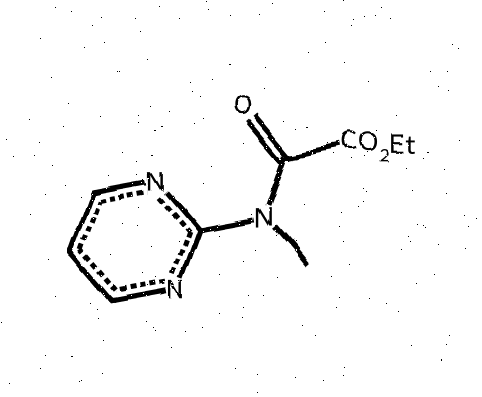 CCOC(=O)C(=O)N(C)c1ncccn1